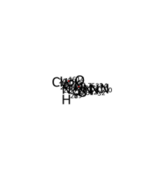 CN1CCC(N2CCN(C(=O)CN(C(=O)c3ccc4c(Cl)c[nH]c4c3)c3ccccc3)CC2)CC1